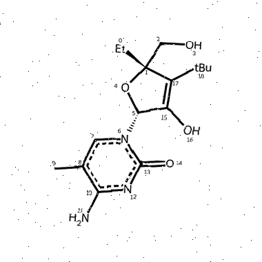 CC[C@]1(CO)O[C@@H](n2cc(C)c(N)nc2=O)C(O)=C1C(C)(C)C